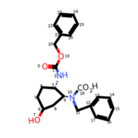 O=C(N[C@H]1CCC(O)C[C@H]1N(Cc1ccccc1)C(=O)O)OCc1ccccc1